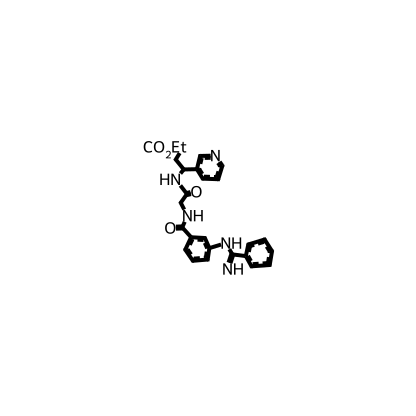 CCOC(=O)CC(NC(=O)CNC(=O)c1cccc(NC(=N)c2ccccc2)c1)c1cccnc1